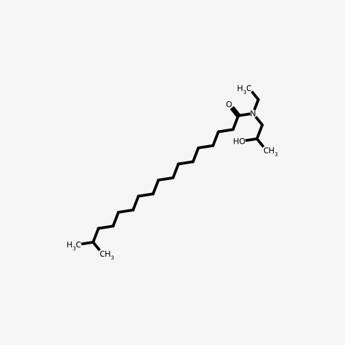 CCN(CC(C)O)C(=O)CCCCCCCCCCCCCCC(C)C